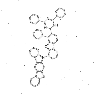 c1ccc(C2=NC(c3ccc4c(oc5c(-n6c7ccccc7c7cc8c(cc76)sc6ccccc68)cccc54)c3-c3ccccc3)NC(c3ccccc3)=N2)cc1